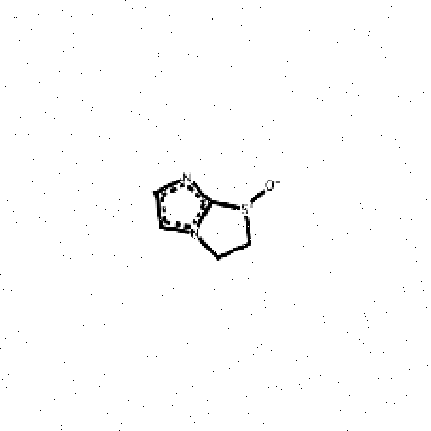 [O-][S+]1CCn2c[c]nc21